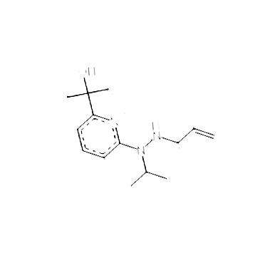 C=CCNN(c1cccc(C(C)(C)O)n1)C(C)C